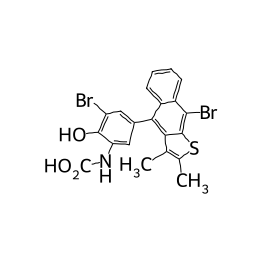 Cc1sc2c(Br)c3ccccc3c(-c3cc(Br)c(O)c(NC(=O)O)c3)c2c1C